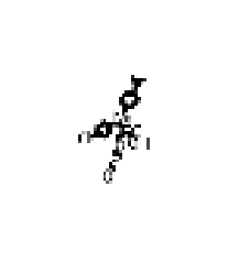 COCCOCOC=C(C(=O)O)c1sc(-c2ccc(C3CC3)cc2)nc1-c1ccc(Cl)cc1